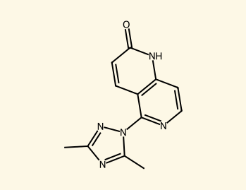 Cc1nc(C)n(-c2nccc3[nH]c(=O)ccc23)n1